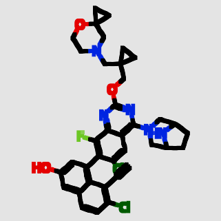 C#Cc1c(Cl)ccc2cc(O)cc(-c3c(Cl)cc4c(N5CC6CCC(C5)N6)nc(OCC5(CN6CCOC7(CC7)C6)CC5)nc4c3F)c12